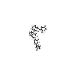 CC(Nc1nccc(-n2cnc3cc(-c4ccc(-n5cccc5)cc4)ccc32)n1)c1ccccc1